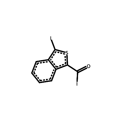 O=C(I)c1sc(I)c2ccccc12